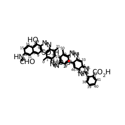 Cc1cc(/N=N\c2c(S(=O)(=O)O)cc3cc(NC=O)ccc3c2O)c(C)cc1/N=N\c1ccc(/N=N\c2cc3nn(-c4ccccc4C(=O)O)nc3cc2S(=O)(=O)O)c(C)c1